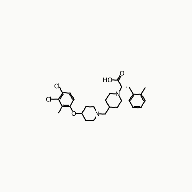 Cc1ccccc1C[C@@H](C(=O)O)N1CCC(CN2CCC(Oc3ccc(Cl)c(Cl)c3C)CC2)CC1